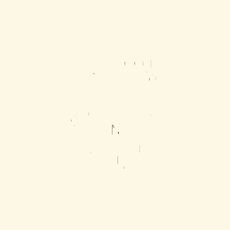 CCOC(=O)c1ccc2c3c1c(=O)cc(F)n3C(F)CCO2